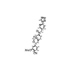 COc1cc([C@@H]2CN3CCN(C(=O)Cc4ccc(-n5cnnn5)nc4)C[C@@H]3CO2)ccc1C#N